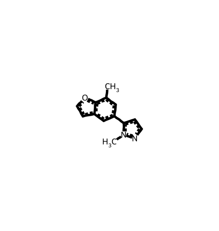 Cc1cc(-c2ccnn2C)cc2ccoc12